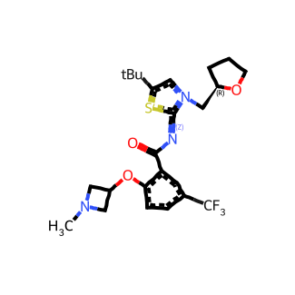 CN1CC(Oc2ccc(C(F)(F)F)cc2C(=O)/N=c2\sc(C(C)(C)C)cn2C[C@H]2CCCO2)C1